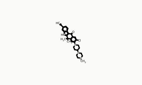 C#Cc1ccc2c3c([nH]c2c1)C(C)(C)c1cc(N2CCC(N4CCN(C)CC4)CC2)c(Cl)cc1C3=O